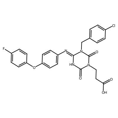 O=C(O)CCn1c(=O)[nH]/c(=N\c2ccc(Oc3ccc(F)cc3)cc2)n(Cc2ccc(Cl)cc2)c1=O